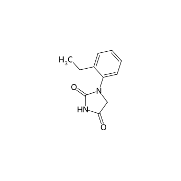 CCc1ccccc1N1CC(=O)NC1=O